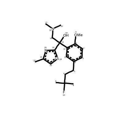 COc1ccc(CCC(C)(C)F)cc1C(O)(CN(C)C)c1nc(C)cs1